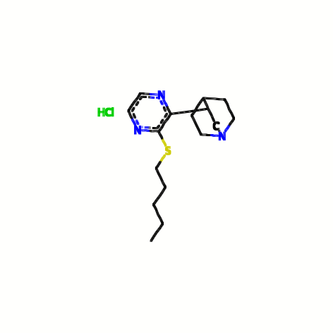 CCCCCSc1nccnc1C1CN2CCC1CC2.Cl